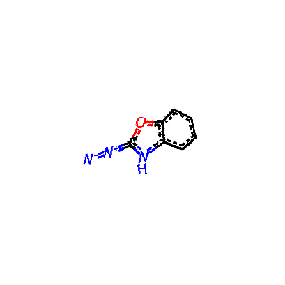 [N-]=[N+]=c1[nH]c2ccccc2o1